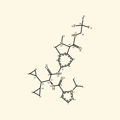 CC(C)n1nccc1C(=O)N[C@H](C(=O)Nc1ccc2c(c1)CN(C)C2C(=O)NCC(F)(F)F)C(C1CC1)C1CC1